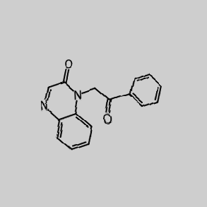 O=C(Cn1c(=O)cnc2ccccc21)c1ccccc1